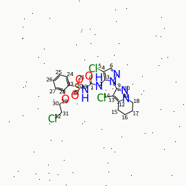 O=C(Nc1c(Cl)cnn1-c1nn2c(c1Cl)CCCC2)NS(=O)(=O)c1ccccc1OCCCl